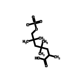 CC(CC(C)(C)CC(C)(C)COS(=O)(=O)Cl)C(=O)O